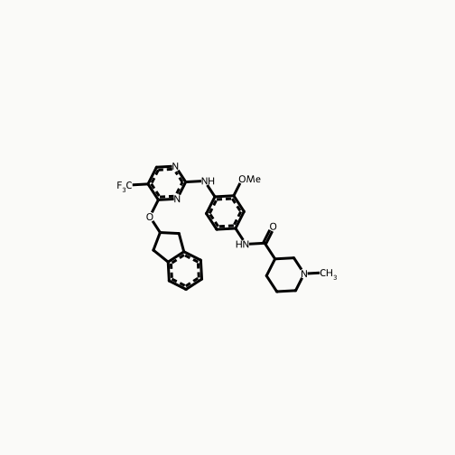 COc1cc(NC(=O)C2CCCN(C)C2)ccc1Nc1ncc(C(F)(F)F)c(OC2Cc3ccccc3C2)n1